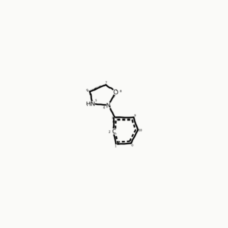 c1ccc(N2NCCO2)cc1